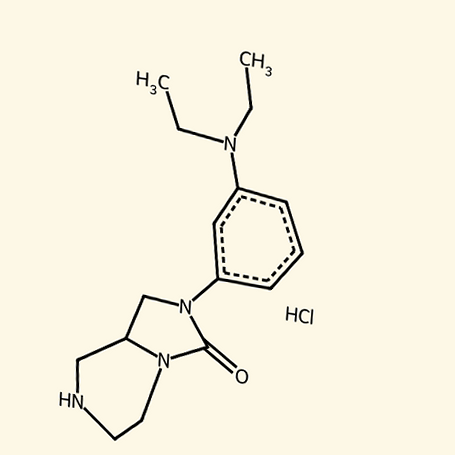 CCN(CC)c1cccc(N2CC3CNCCN3C2=O)c1.Cl